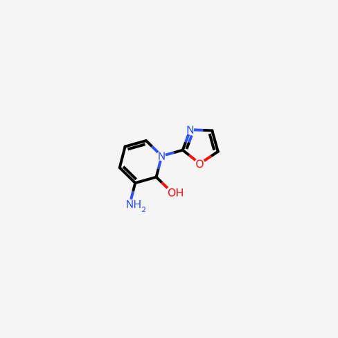 NC1=CC=CN(c2ncco2)C1O